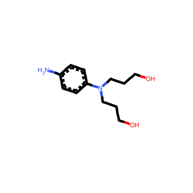 Nc1ccc(N(CCCO)CCCO)cc1